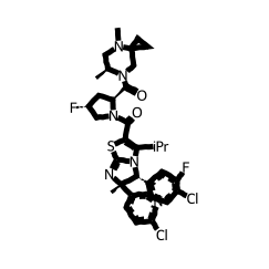 CC(C)C1=C(C(=O)N2C[C@H](F)C[C@H]2C(=O)N2CC3(CC3)N(C)C[C@@H]2C)SC2=N[C@@](C)(c3ccc(Cl)nc3)[C@@H](c3ccc(Cl)c(F)c3)N21